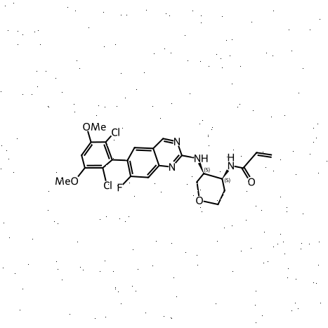 C=CC(=O)N[C@H]1CCOC[C@H]1Nc1ncc2cc(-c3c(Cl)c(OC)cc(OC)c3Cl)c(F)cc2n1